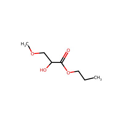 CCCOC(=O)C(O)COC